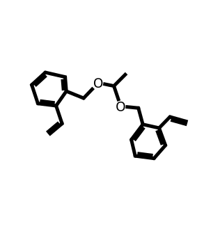 C=Cc1ccccc1COC(C)OCc1ccccc1C=C